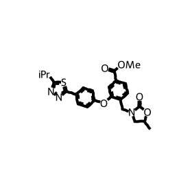 COC(=O)c1ccc(CN2CC(C)OC2=O)c(Oc2ccc(-c3nnc(C(C)C)s3)cc2)c1